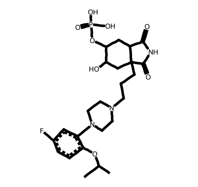 CC(C)Oc1ccc(F)cc1N1CCN(CCCC23CC(O)C(OP(=O)(O)O)CC2C(=O)NC3=O)CC1